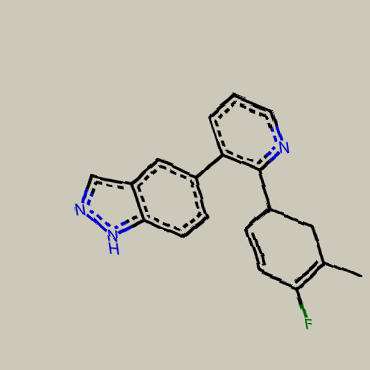 CC1=C(F)C=CC(c2ncccc2-c2ccc3[nH]ncc3c2)C1